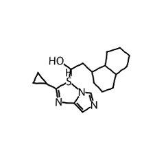 OC(CC1CCCC2CCCCC21)[SH]1C(C2CC2)=Nc2cncn21